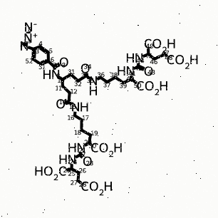 [N-]=[N+]=Nc1ccc(C(=O)NC(CCC(=O)NCCCCC(NC(=O)NC(CCC(=O)O)C(=O)O)C(=O)O)CCC(=O)NCCCCC(NC(=O)NC(CCC(=O)O)C(=O)O)C(=O)O)cc1